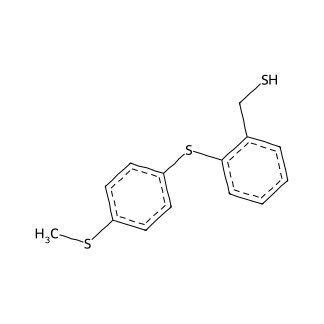 CSc1ccc(Sc2ccccc2CS)cc1